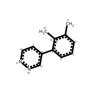 Cc1cccc(-c2ccnnc2)c1C